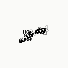 CC1(C)C2=C(Cl)C(=O)C(Cl)=CC2=Nc2ccc(OCC3=C(C(=O)O)N4C(=O)[C@@H](NC(=O)Cc5cccs5)[C@@H]4SC3)cc21